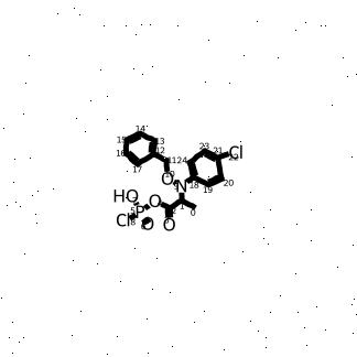 CC(C(=O)OP(=O)(O)Cl)N(OCc1ccccc1)c1ccc(Cl)cc1